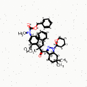 CN(C(=O)OCc1ccccc1)c1ccc(C(Cc2ccccc2)(C(=O)O)C(=O)c2nn(C3CCCCO3)c3c2CCC(C)(C)C3)c([N+](=O)[O-])c1